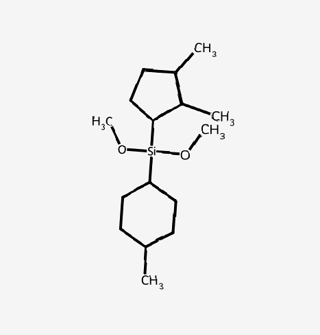 CO[Si](OC)(C1CCC(C)CC1)C1CCC(C)C1C